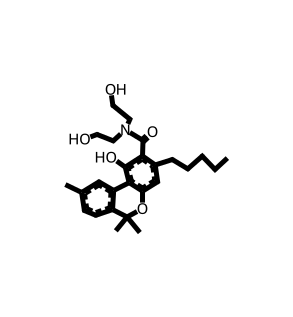 CCCCCc1cc2c(c(O)c1C(=O)N(CCO)CCO)-c1cc(C)ccc1C(C)(C)O2